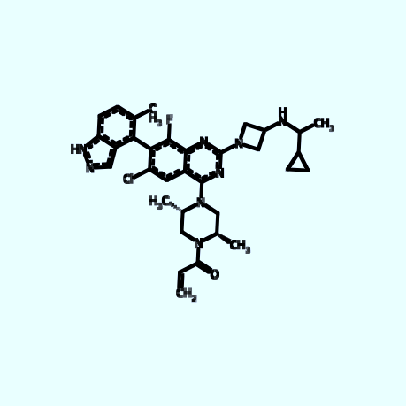 C=CC(=O)N1C[C@H](C)N(c2nc(N3CC(NC(C)C4CC4)C3)nc3c(F)c(-c4c(C)ccc5[nH]ncc45)c(Cl)cc23)C[C@H]1C